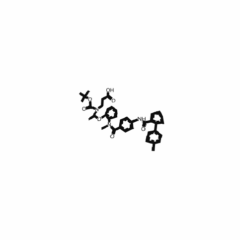 Cc1ccc(-c2ccccc2C(=O)Nc2ccc(C(=O)N(C)c3ccccc3OC(C)N(CCC(=O)O)C(=O)OC(C)(C)C)cc2)cc1